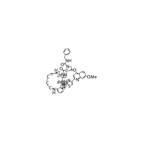 COc1ccc2c(O[C@@H]3C[C@@H](C(=O)N[C@]45C[C@H]4/C=C\CCCCCNc4ccccc4S(=O)(=O)NC5=O)N(C(=O)NCc4ccccc4)C3)cc(-c3csc(NC(C)C)n3)nc2c1